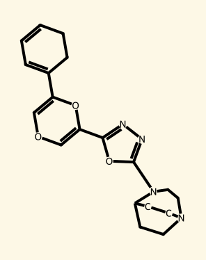 C1=CCCC(C2=COC=C(c3nnc(N4CCN5CCC4CC5)o3)O2)=C1